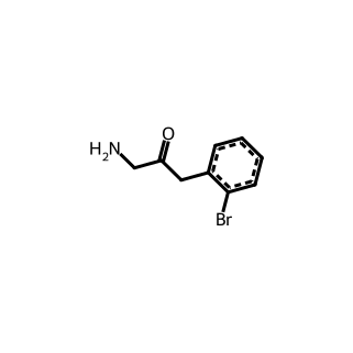 NCC(=O)Cc1ccccc1Br